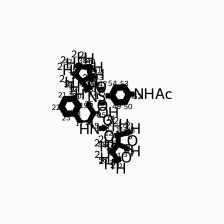 [2H]C1([2H])O[C@]2([2H])OC([2H])([2H])[C@]([2H])(OC(=O)N[C@@H](Cc3ccccc3)[C@H](O)CN(C([2H])([2H])C3([2H])C([2H])([2H])C([2H])([2H])C([2H])([2H])C3([2H])[2H])S(=O)(=O)c3ccc(NC(C)=O)cc3)[C@]2([2H])C1([2H])[2H]